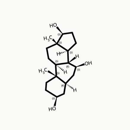 C[C@]12CC[C@H](O)C[C@@H]1C[C@H](O)[C@@H]1[C@@H]2CC[C@]2(C)[C@@H](O)CC[C@@H]12